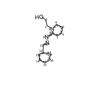 OCCn1cccc/c1=N\N=Cc1ccccn1